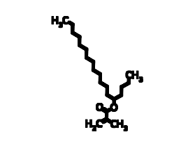 C=C(C)C(=O)OC(CCCC)CCCCCCCCCCCCC